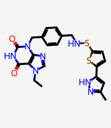 CCn1cnc2c1c(=O)[nH]c(=O)n2Cc1ccc(CNSc2ccc(-c3cc(C)n[nH]3)s2)cc1